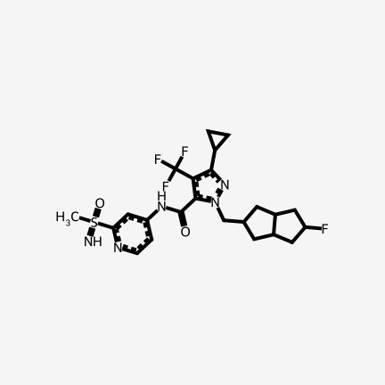 CS(=N)(=O)c1cc(NC(=O)c2c(C(F)(F)F)c(C3CC3)nn2CC2CC3CC(F)CC3C2)ccn1